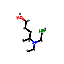 Br.CCN(CC)C(C)CCCO